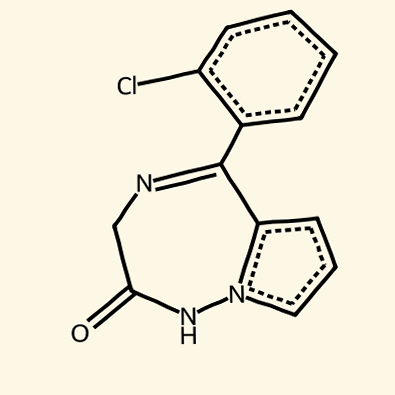 O=C1CN=C(c2ccccc2Cl)c2cccn2N1